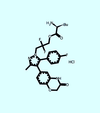 CC[C@H](C)[C@H](N)C(=O)OCC(F)(F)Cn1nc(C)c(-c2ccc3c(c2)NC(=O)CO3)c1-c1ccc(F)cc1.Cl